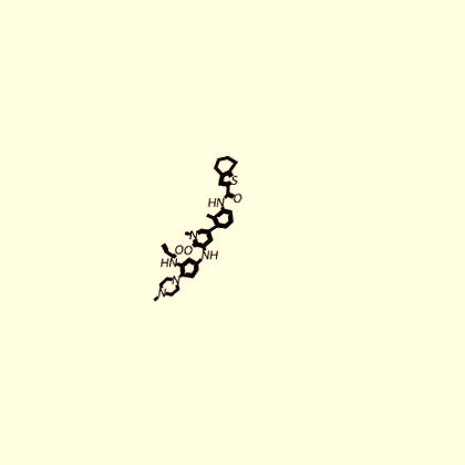 C=CC(=O)Nc1cc(Nc2cc(-c3cccc(NC(=O)c4cc5c(s4)CCCC5)c3C)cn(C)c2=O)ccc1N1CCN(C)CC1